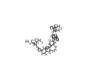 CCN(CC)CCOc1ccc(/C=C2/CCCc3cc(N4C[C@H](CNC(C)=O)OC4=O)ccc3C2=O)cc1